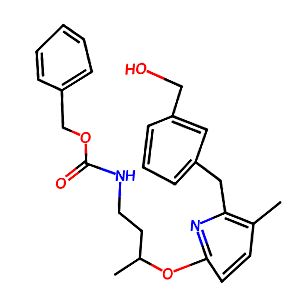 Cc1ccc(OC(C)CCNC(=O)OCc2ccccc2)nc1Cc1cccc(CO)c1